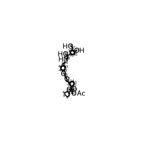 CC(=O)ON(C1CCCCC1)S(=O)(=O)c1cccc(COCCOc2ccc(CCNC[C@@H](O)c3ccc(O)c(CO)c3)cc2)c1